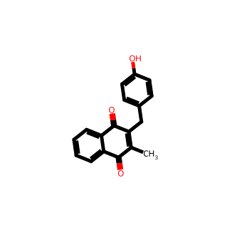 CC1=C(Cc2ccc(O)cc2)C(=O)c2ccccc2C1=O